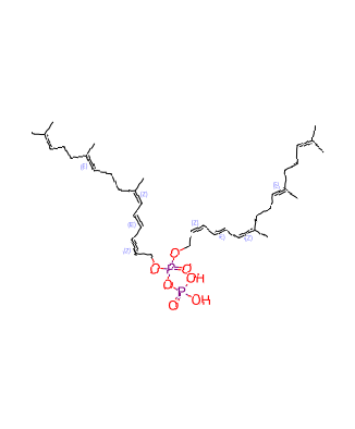 CC(C)=CCC/C(C)=C/CC\C(C)=C/C=C/C=C\COP(=O)(OC\C=C/C=C/C=C(/C)CC/C=C(\C)CCC=C(C)C)OP(=O)(O)O